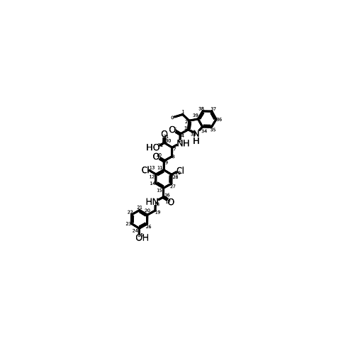 CCc1c(C(=O)NC(CC(=O)c2c(Cl)cc(C(=O)NCc3cccc(O)c3)cc2Cl)C(=O)O)[nH]c2ccccc12